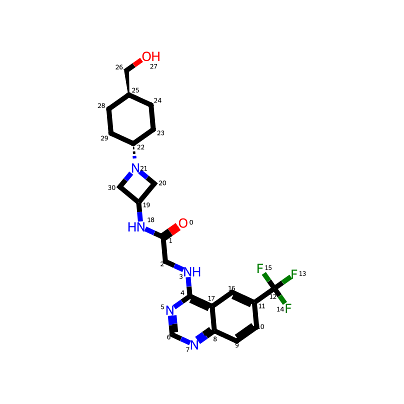 O=C(CNc1ncnc2ccc(C(F)(F)F)cc12)NC1CN([C@H]2CC[C@H](CO)CC2)C1